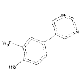 Cc1cc(-c2cncnc2)ccc1O